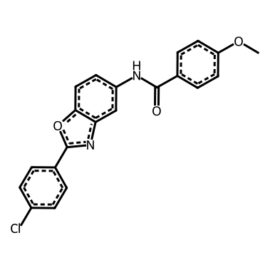 COc1ccc(C(=O)Nc2ccc3oc(-c4ccc(Cl)cc4)nc3c2)cc1